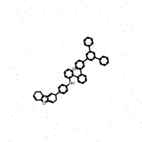 Oc1cccc(Nc2ccc(C3C=c4c5c(oc4=CC3)C=CCC5)cc2)c1-c1ccccc1-c1cccc(-c2cc(-c3ccccc3)cc(-c3ccccc3)c2)c1